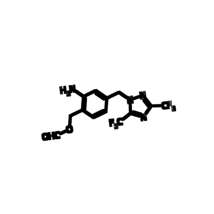 Nc1cc(Cn2nc(C(F)(F)F)nc2C(F)(F)F)ccc1COC=O